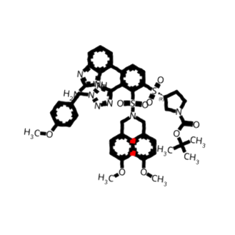 COc1ccc(CN(Cc2ccc(OC)cc2)S(=O)(=O)c2c(S(=O)(=O)[C@@H]3CCN(C(=O)OC(C)(C)C)C3)ccc(-c3cccc4nc(N)[nH]c34)c2-c2nnn(Cc3ccc(OC)cc3)n2)cc1